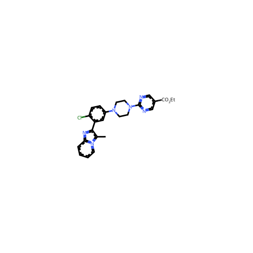 CCOC(=O)c1cnc(N2CCN(c3ccc(Cl)c(-c4nc5ccccn5c4C)c3)CC2)nc1